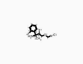 [C-]#[N+]COC[C@H](F)[C@](C)(N)c1ccccc1F